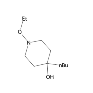 CCCCC1(O)CCN(OCC)CC1